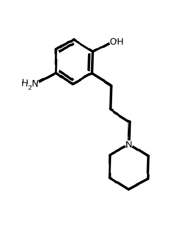 Nc1ccc(O)c(CCCN2CCCCC2)c1